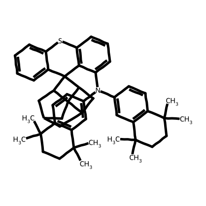 CC1(C)CCC(C)(C)c2cc(N(c3ccc4c(c3)C(C)(C)CCC4(C)C)c3cccc4c3C3(c5ccccc5S4)C4CC5CC6CC3C64C5)ccc21